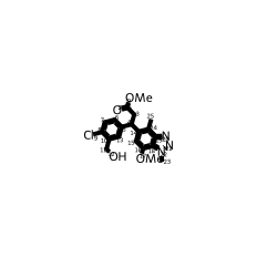 COC(=O)CC(c1ccc(Cl)c(CO)c1)c1cc(OC)c2c(nnn2C)c1C